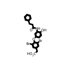 O=C(O)Cc1cc(Br)c(Oc2ccc(O)c(NC(=O)CCc3ccccc3)c2)c(Br)c1